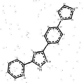 c1ccc(-c2nc(-c3ccc(-n4ccnc4)cc3)n[nH]2)nc1